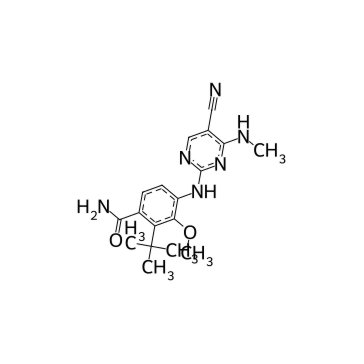 CNc1nc(Nc2ccc(C(N)=O)c(C(C)(C)C)c2OC)ncc1C#N